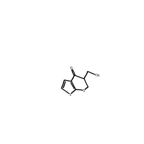 N#CCC1CSc2sccc2C1=O